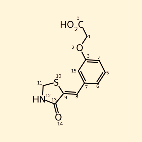 O=C(O)COc1cccc(/C=C2\SCNC2=O)c1